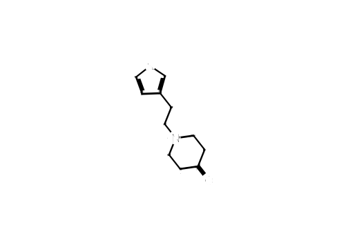 O=C1CCN(CCc2ccsc2)CC1